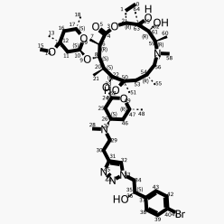 CC[C@H]1OC(=O)[C@H](C)[C@@H](O[C@H]2C[C@@](C)(OC)C[C@H](C)O2)[C@H](C)[C@@H](O[C@H]2C[C@@H](N(C)CCc3cn(C[C@@H](O)c4ccc(Br)cc4)nn3)C[C@@H](C)O2)[C@](C)(O)C[C@@H](C)CN(C)[C@H](C)[C@@H](O)[C@]1(C)O